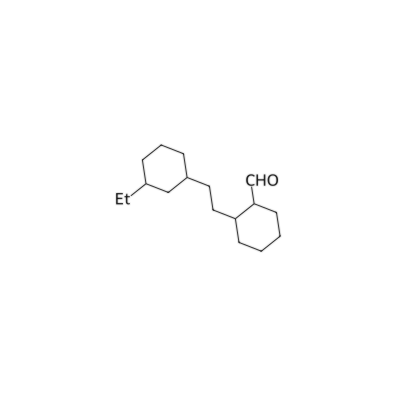 CCC1CCCC(CCC2CCCCC2C=O)C1